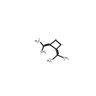 CC(C)=C1CCC1=C(C)C